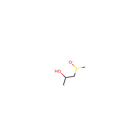 [CH2]C(O)C[S+](C)[O-]